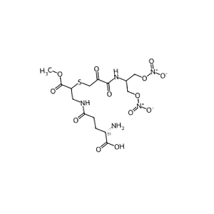 COC(=O)C(CNC(=O)CC[C@H](N)C(=O)O)SCC(=O)C(=O)NC(CO[N+](=O)[O-])CO[N+](=O)[O-]